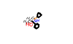 CCC(O)(NP(C)c1ccccc1)c1ccccc1